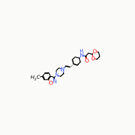 Cc1ccc2c(N3CCN(CC[C@H]4CC[C@H](NC(=O)CC5OCCCO5)CC4)CC3)noc2c1